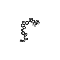 COC(=O)C[C@@H]1COc2cc(O[C@@H]3CCc4c3ccc(C(F)(F)F)c4-c3ccc(-c4noc(CC(C)(C)O)n4)cc3)ccc21